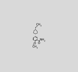 CCC[C@H]1CC[C@H](c2ccc(OCC)c(C(N)=O)c2)CC1